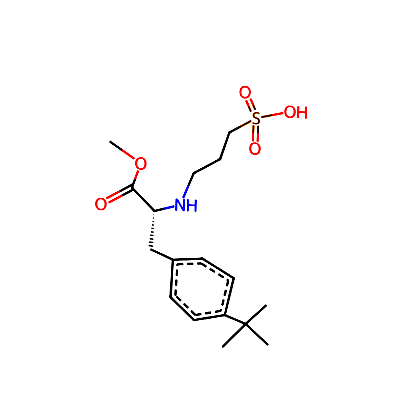 COC(=O)[C@@H](Cc1ccc(C(C)(C)C)cc1)NCCCS(=O)(=O)O